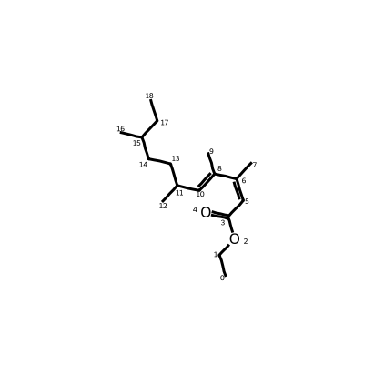 CCOC(=O)C=C(C)C(C)=CC(C)CCC(C)CC